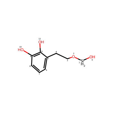 O[SiH2]OCCc1cccc(O)c1O